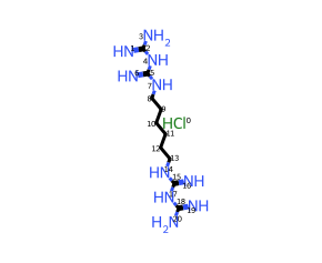 Cl.N=C(N)NC(=N)NCCCCCCNC(=N)NC(=N)N